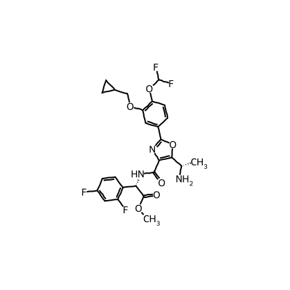 COC(=O)[C@@H](NC(=O)c1nc(-c2ccc(OC(F)F)c(OCC3CC3)c2)oc1[C@H](C)N)c1ccc(F)cc1F